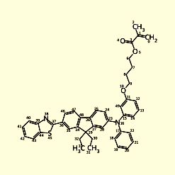 C=C(C)C(=O)OCCCCOc1cccc(N(c2ccccc2)c2ccc3c(c2)C(CC)(CC)c2cc(-c4nc5ccccc5s4)ccc2-3)c1